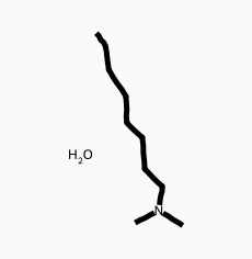 CCCCCCCCN(C)C.O